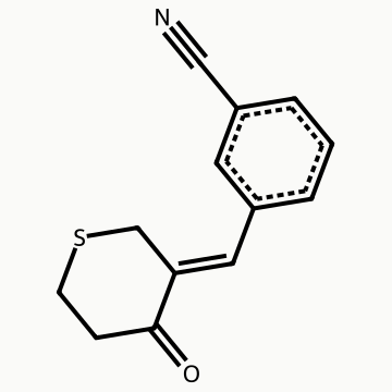 N#Cc1cccc(/C=C2\CSCCC2=O)c1